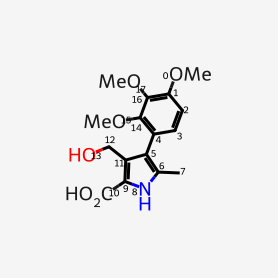 COc1ccc(-c2c(C)[nH]c(C(=O)O)c2CO)c(OC)c1OC